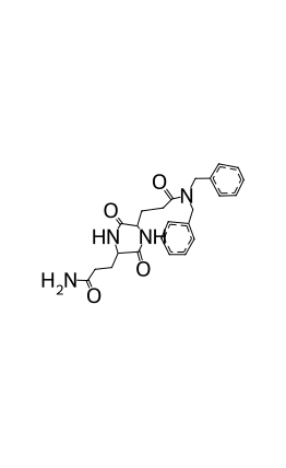 NC(=O)CCC1NC(=O)C(CCC(=O)N(Cc2ccccc2)Cc2ccccc2)NC1=O